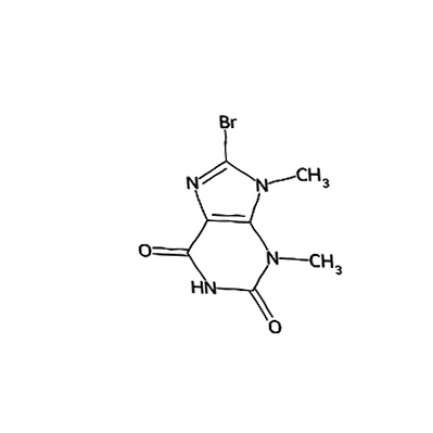 Cn1c(Br)nc2c(=O)[nH]c(=O)n(C)c21